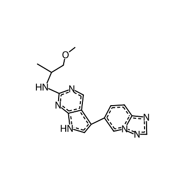 COCC(C)Nc1ncc2c(-c3ccc4ncnn4c3)c[nH]c2n1